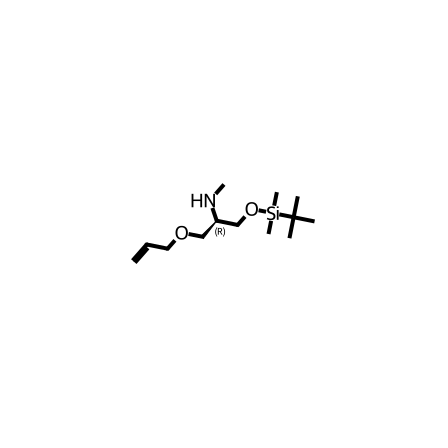 C=CCOC[C@H](CO[Si](C)(C)C(C)(C)C)NC